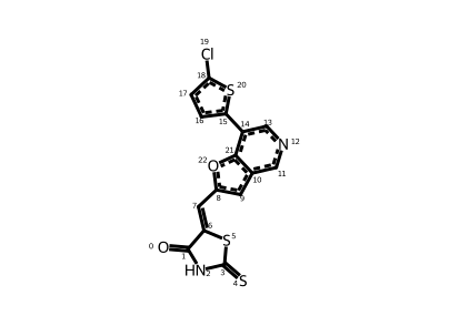 O=C1NC(=S)S/C1=C\c1cc2cncc(-c3ccc(Cl)s3)c2o1